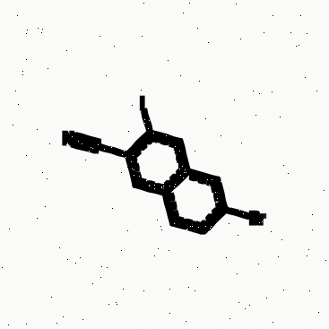 N#Cc1cc2ccc(Br)cc2cc1I